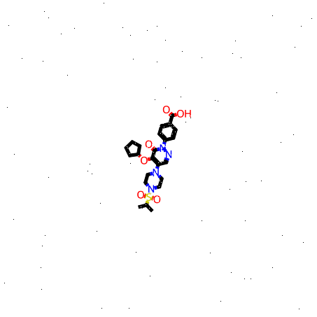 CC(C)S(=O)(=O)N1CCN(c2cnn(-c3ccc(C(=O)O)cc3)c(=O)c2OC2CCCC2)CC1